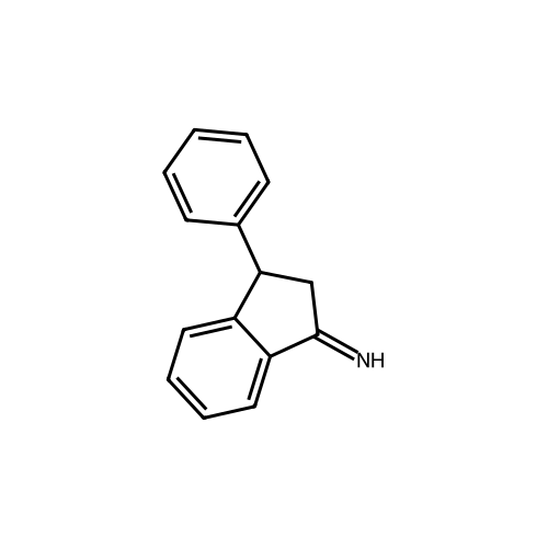 N=C1CC(c2ccccc2)c2ccccc21